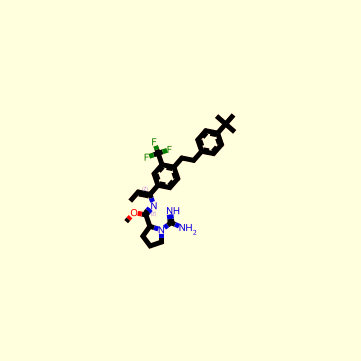 C/C=C(\N=C(/OC)C1CCCN1C(=N)N)c1ccc(CCc2ccc(C(C)(C)C)cc2)c(C(F)(F)F)c1